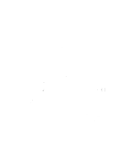 C[Si]12OCC(C(=O)O)C(O)C(O1)C(O)O2